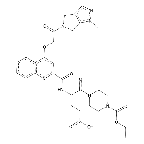 CCOC(=O)N1CCN(C(=O)C(CCC(=O)O)NC(=O)c2cc(OCC(=O)N3Cc4cnn(C)c4C3)c3ccccc3n2)CC1